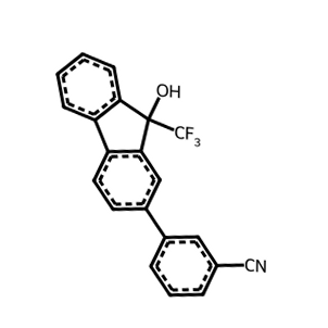 N#Cc1cccc(-c2ccc3c(c2)C(O)(C(F)(F)F)c2ccccc2-3)c1